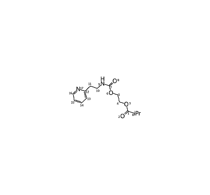 CC(C)C(=O)OCCOC(=O)NCCc1ccccn1